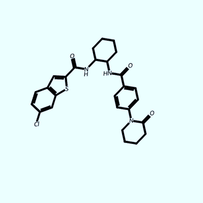 O=C(NC1CCCCC1NC(=O)c1cc2ccc(Cl)cc2s1)c1ccc(N2CCCCC2=O)cc1